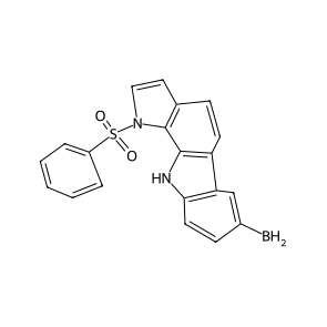 Bc1ccc2[nH]c3c(ccc4ccn(S(=O)(=O)c5ccccc5)c43)c2c1